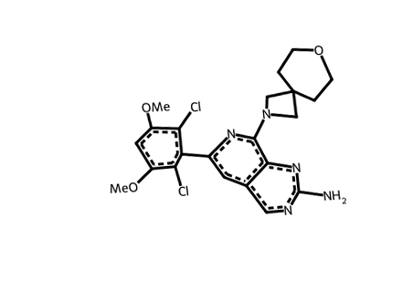 COc1cc(OC)c(Cl)c(-c2cc3cnc(N)nc3c(N3CC4(CCOCC4)C3)n2)c1Cl